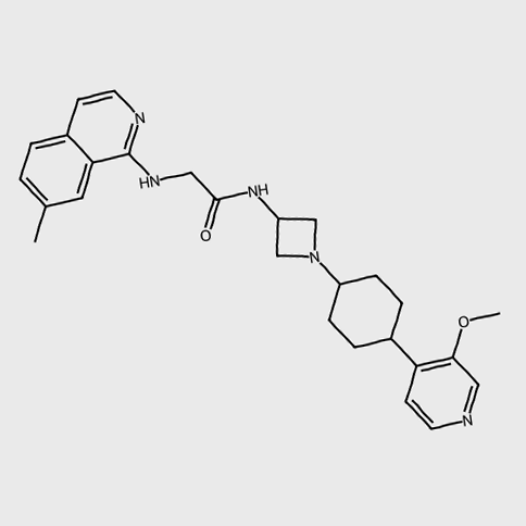 COc1cnccc1C1CCC(N2CC(NC(=O)CNc3nccc4ccc(C)cc34)C2)CC1